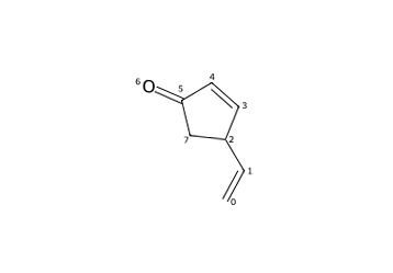 C=CC1C=CC(=O)C1